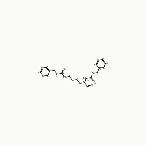 O=[C][C@@H](CCCCNC(=O)OCc1ccccc1)NC(=O)OCc1ccccc1